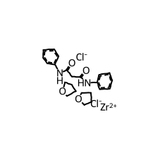 C1CCOC1.C1CCOC1.O=C(CC(=O)Nc1ccccc1)Nc1ccccc1.[Cl-].[Cl-].[Zr+2]